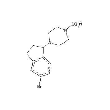 O=C(O)N1CCN(C2CCc3cc(Br)ccc32)CC1